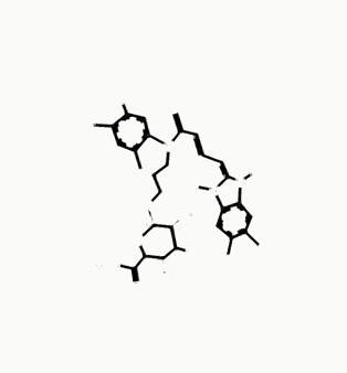 C=C(C=CC=C1N(CC)c2cc(Cl)c(Cl)cc2N1CC)N(CCCO[C@@H]1OC(C(=O)OC)[C@@H](OC(C)=O)C(OC(C)=O)[C@@H]1OC(C)=O)c1cc(Cl)c(Cl)cc1C